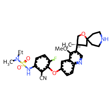 CCN(C)S(=O)(=O)Nc1ccc(F)c(Oc2ccc3ncc([C@@]4(C)COC5(CCNCC5)C4)c(OC)c3c2)c1C#N